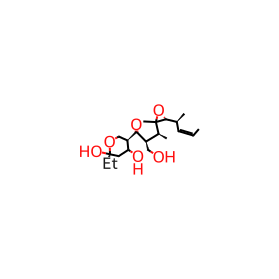 C/C=C\[C@H](C)[C@H]1OC1(C)[C@@H](C)[C@@H](CO)C(=O)[C@@H]1CO[C@](O)(CC)CC1O